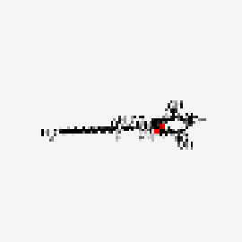 CCCCCCCCCCCCCCCC(=O)NCCCC[C@@H](NC(=S)Nc1ccc(CC2CN(CC(=O)O)CCN(CC(=O)O)CCN(CC(=O)O)CCN2CC(=O)O)cc1)C(C)=O